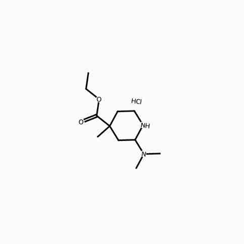 CCOC(=O)C1(C)CCNC(N(C)C)C1.Cl